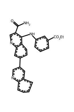 CCOC(=O)c1cccc(Nc2c(C(N)=O)cnc3cc(-c4cnc5ccccc5c4)ccc23)c1